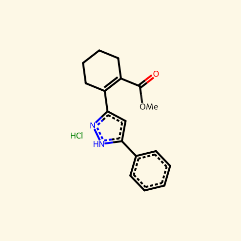 COC(=O)C1=C(c2cc(-c3ccccc3)[nH]n2)CCCC1.Cl